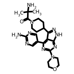 CC(C)(N)C(=O)N1CCC(c2n[nH]c3nc(N4CCOCC4)nc(-c4cnc(N)nc4)c23)CC1